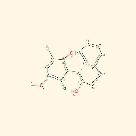 COc1cc(Cl)c(O)c(-c2c(O)ccc3ccccc23)c1Cl